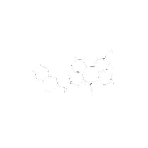 CC(CN1CCOCC1)NC(=O)CN1C(=O)c2ccccc2C(CC(=O)O)c2ccccc21